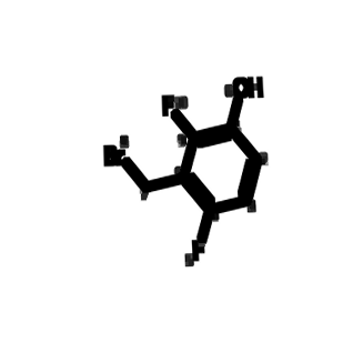 Oc1ccc(F)c(CBr)c1F